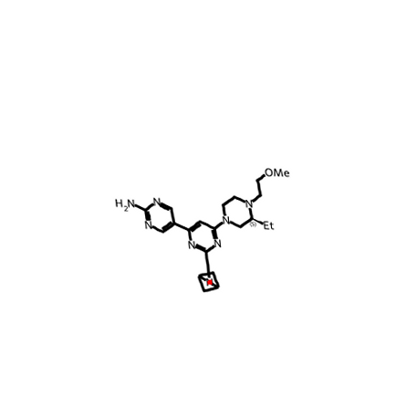 CC[C@H]1CN(c2cc(-c3cnc(N)nc3)nc(N3CC4CC3C4)n2)CCN1CCOC